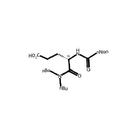 CCCCCCCCCC(=O)N[C@@H](CCC(=O)O)C(=O)N(CCCC)CCCC